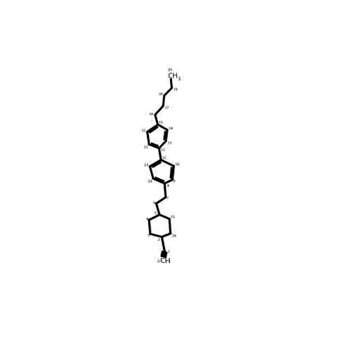 C#CC1CCC(CCc2ccc(-c3ccc(CCCCC)cc3)cc2)CC1